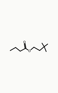 CCCC(=O)OCCC(C)(C)C